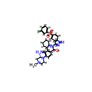 CN1CCN(c2ccc(C(=O)Nc3n[nH]c4ccc(S(=O)(=O)c5cccc(F)c5)cc34)c(C3CCCCC3)c2N)CC1